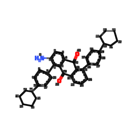 Nc1ccc2c(c1-c1ccc(C3CCCCC3)cc1)C(=O)c1cccc(-c3ccc(C4CCCCC4)cc3)c1C2=O